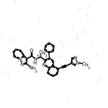 C[C@H](NC(=O)c1c(N)nn2ccccc12)c1nc2cccc(C#Cc3cnn(C)c3)c2cc1-c1ccccc1